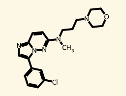 CN(CCCN1CCOCC1)c1ccc2ncc(-c3cccc(Cl)c3)n2n1